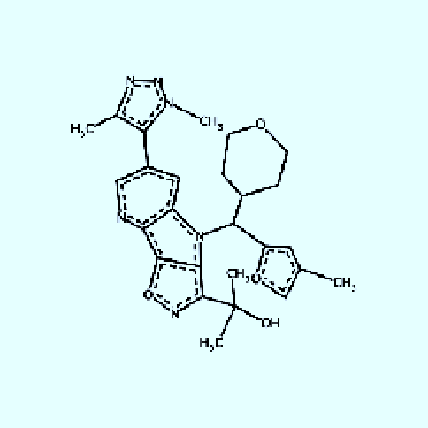 Cc1coc(C(C2CCOCC2)n2c3cc(-c4c(C)nnn4C)cnc3c3onc(C(C)(C)O)c32)c1